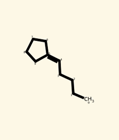 CCCC[C]=C1CCCC1